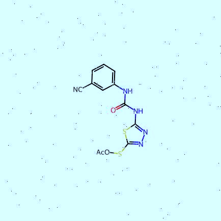 CC(=O)OSc1nnc(NC(=O)Nc2cccc(C#N)c2)s1